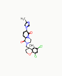 Cc1cn(-c2ccc3n(c2=O)CCN(C[C@]2(C)CCOc4c(Cl)cc(Cl)cc42)C3=O)cn1